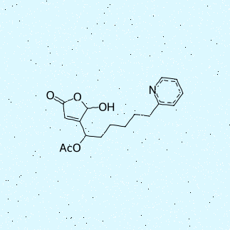 CC(=O)OC(CCCCCc1ccccn1)C1=CC(=O)OC1O